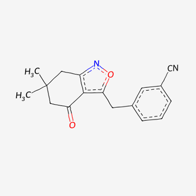 CC1(C)CC(=O)c2c(noc2Cc2cccc(C#N)c2)C1